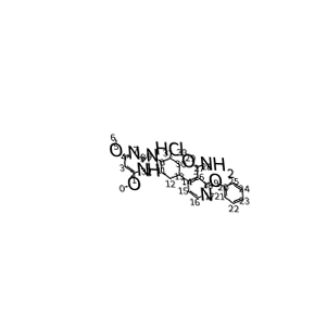 COc1cc(OC)nc(NC2CCC(c3ccnc(Oc4ccccc4)c3C(N)=O)CC2)n1.Cl